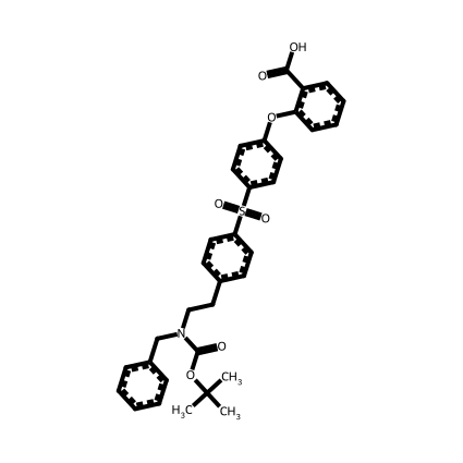 CC(C)(C)OC(=O)N(CCc1ccc(S(=O)(=O)c2ccc(Oc3ccccc3C(=O)O)cc2)cc1)Cc1ccccc1